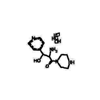 Cl.Cl.Cl.NC(C(=O)N1CCNCC1)C(O)c1ccncc1